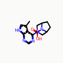 Cc1c[nH]c2ncnc(N3CC4CCC(C3)N4C(=O)O)c12